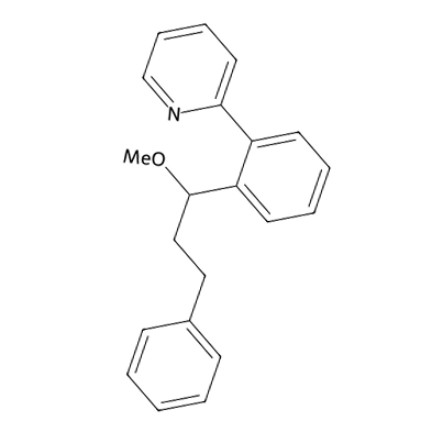 COC(CCc1ccccc1)c1ccccc1-c1ccccn1